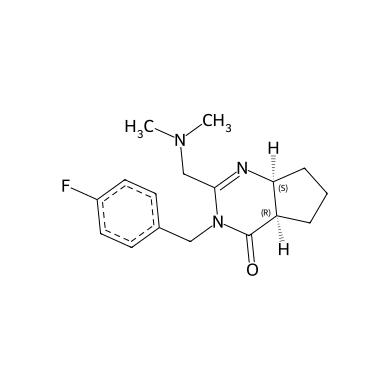 CN(C)CC1=N[C@H]2CCC[C@H]2C(=O)N1Cc1ccc(F)cc1